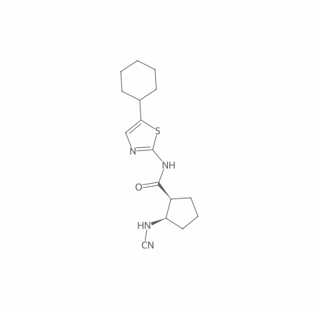 N#CN[C@@H]1CCC[C@@H]1C(=O)Nc1ncc(C2CCCCC2)s1